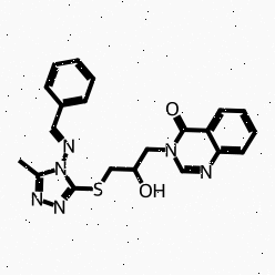 Cc1nnc(SCC(O)Cn2cnc3ccccc3c2=O)n1N=Cc1ccccc1